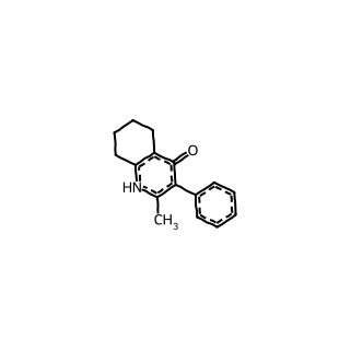 Cc1[nH]c2c(c(=O)c1-c1ccccc1)CCCC2